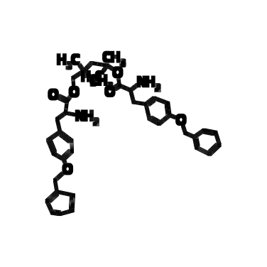 CC(C)(COC(=O)C(N)Cc1ccc(OCc2ccccc2)cc1)CC(C)(C)OC(=O)C(N)Cc1ccc(OCc2ccccc2)cc1